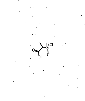 CC(C(=O)O)[SiH](Cl)Cl